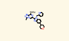 CNc1nc(-c2nc3cc(C4CCOCC4)ccc3n2Cc2ccccn2)cn2c(C)nnc12